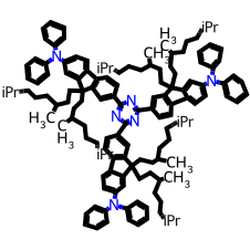 CC(C)CCCC(C)CCC1(CCC(C)CCCC(C)C)c2cc(-c3nc(-c4ccc5c(c4)C(CCC(C)CCCC(C)C)(CCC(C)CCCC(C)C)c4cc(N(c6ccccc6)c6ccccc6)ccc4-5)nc(-c4ccc5c(c4)C(CCC(C)CCCC(C)C)(CCC(C)CCCC(C)C)c4cc(N(c6ccccc6)c6ccccc6)ccc4-5)n3)ccc2-c2ccc(N(c3ccccc3)c3ccccc3)cc21